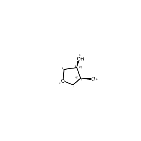 O[C@@H]1COC[C@@H]1Cl